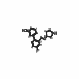 Oc1cccc(-c2ccc(F)cc2COC2CCNC2)c1